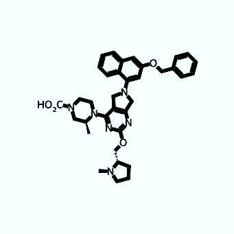 C[C@H]1CN(C(=O)O)CCN1c1nc(OC[C@@H]2CCCN2C)nc2c1CN(c1cc(OCc3ccccc3)cc3ccccc13)C2